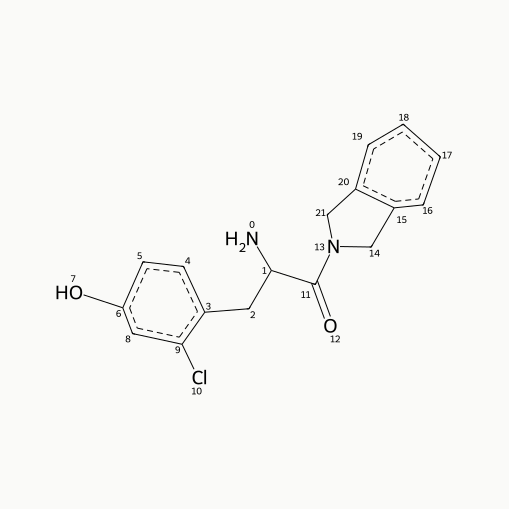 NC(Cc1ccc(O)cc1Cl)C(=O)N1Cc2ccccc2C1